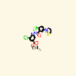 COC(=O)c1cc(Cl)cc(NC(=O)c2cc(N3CCCS3)ccc2Cl)c1